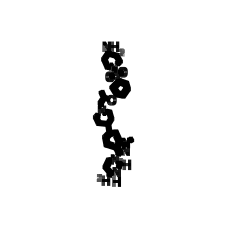 [2H]C1C=CN(c2nn(C)c3cc(C4CCN(CC(C)Oc5cccc(S(=O)(=O)N6CCC(N)CC6)c5)CC4)ccc23)[C@@H]([2H])N1